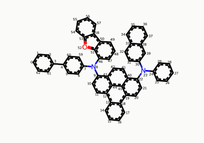 c1ccc(-c2ccc(N(c3ccc4c5ccccc5c5ccc(N(c6ccccc6)c6ccc7ccccc7c6)c6ccc3c4c65)c3cccc4c3oc3ccccc34)cc2)cc1